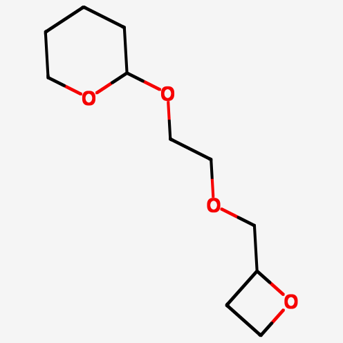 C1CCC(OCCOCC2CCO2)OC1